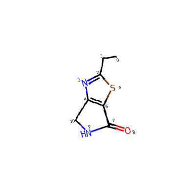 CCc1nc2c(s1)C(=O)NC2